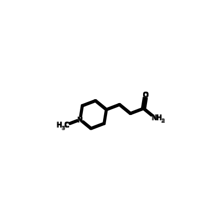 CN1CCC(CCC(N)=O)CC1